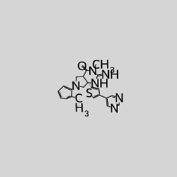 Cc1ccccc1N1CC2C(=O)N(C)C(=N)N[C@@]2(c2cc(-c3cncnc3)cs2)C1